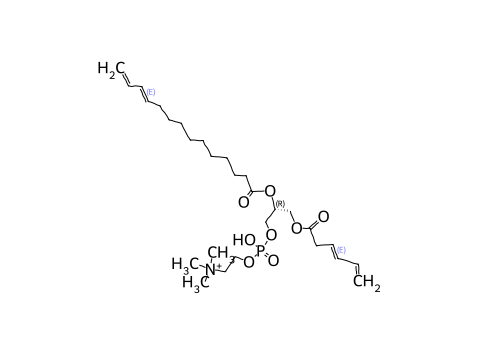 C=C/C=C/CCCCCCCCCC(=O)O[C@H](COC(=O)C/C=C/C=C)COP(=O)(O)OCC[N+](C)(C)C